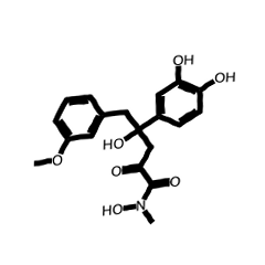 COc1cccc(CC(O)(CC(=O)C(=O)N(C)O)c2ccc(O)c(O)c2)c1